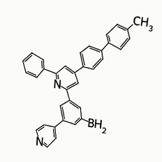 Bc1cc(-c2ccncc2)cc(-c2cc(-c3ccc(-c4ccc(C)cc4)cc3)cc(-c3ccccc3)n2)c1